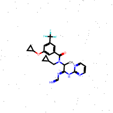 CC(/C(=N/C=N)Nc1ncccn1)N(CC1CC1)C(=O)c1cc(OC2CC2)cc(C(F)(F)F)c1